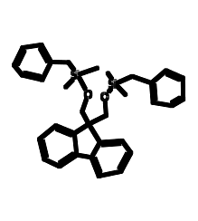 C[Si](C)(Cc1ccccc1)OCC1(CO[Si](C)(C)Cc2ccccc2)c2ccccc2-c2ccccc21